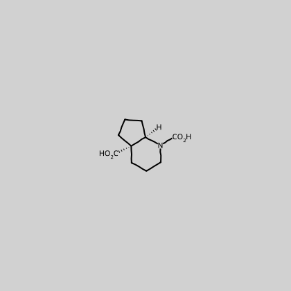 O=C(O)N1CCC[C@@]2(C(=O)O)CCC[C@@H]12